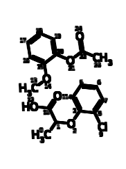 CC(Oc1ccccc1Cl)C(=O)O.COc1ccccc1OC(C)=O